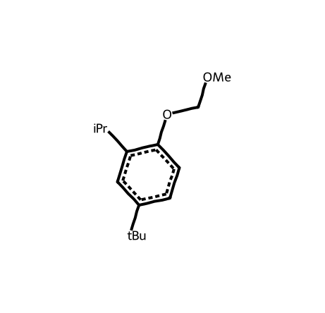 COCOc1ccc(C(C)(C)C)cc1C(C)C